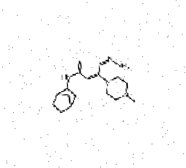 C=C(/C=C(\C=N/N)N1CCN(C)CC1)NC1CC2CCC1C2